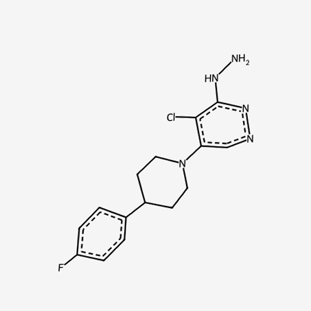 NNc1nncc(N2CCC(c3ccc(F)cc3)CC2)c1Cl